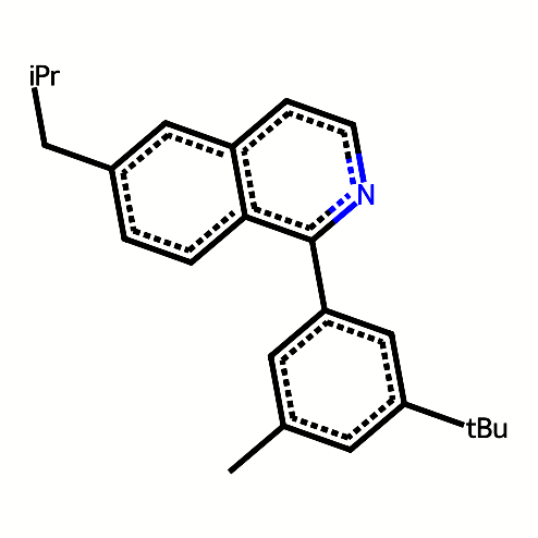 Cc1cc(-c2nccc3cc(CC(C)C)ccc23)cc(C(C)(C)C)c1